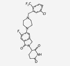 O=C1CCC(N2Cc3cc(N4CCN(Cc5cc(Cl)ccc5C(F)(F)F)CC4)c(F)cc3C2=O)C(=O)N1